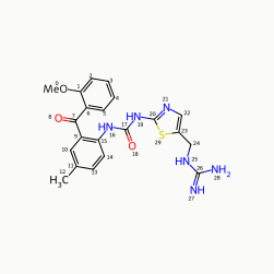 COc1ccccc1C(=O)c1cc(C)ccc1NC(=O)Nc1ncc(CNC(=N)N)s1